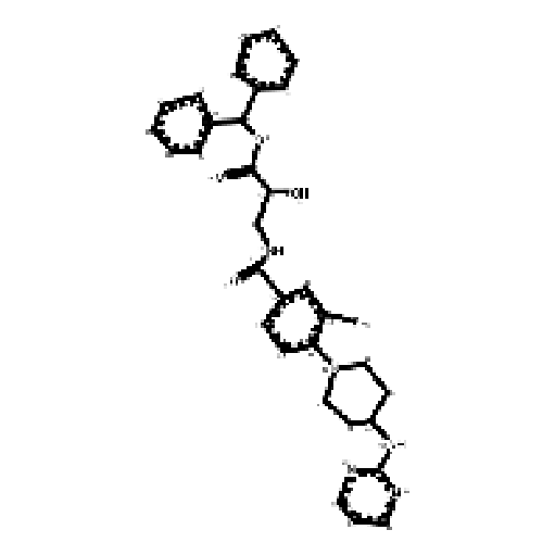 O=C(NC[C@H](O)C(=O)OC(c1ccccc1)c1ccccc1)c1ccc(N2CCC(Nc3ncccn3)CC2)c(F)c1